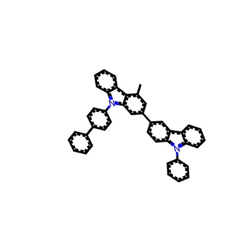 Cc1cc(-c2ccc3c(c2)c2ccccc2n3-c2ccccc2)cc2c1c1ccccc1n2-c1ccc(-c2ccccc2)cc1